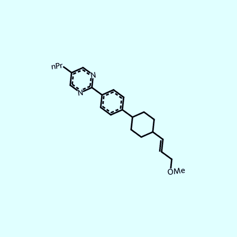 CCCc1cnc(-c2ccc(C3CCC(C=CCOC)CC3)cc2)nc1